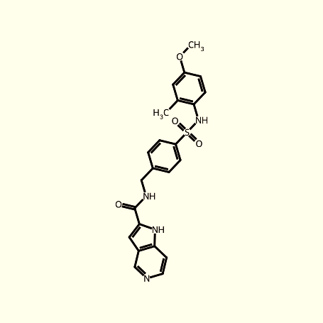 COc1ccc(NS(=O)(=O)c2ccc(CNC(=O)c3cc4cnccc4[nH]3)cc2)c(C)c1